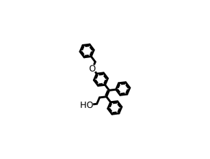 OCC/C(=C(/c1ccccc1)c1ccc(OCc2ccccc2)cc1)c1ccccc1